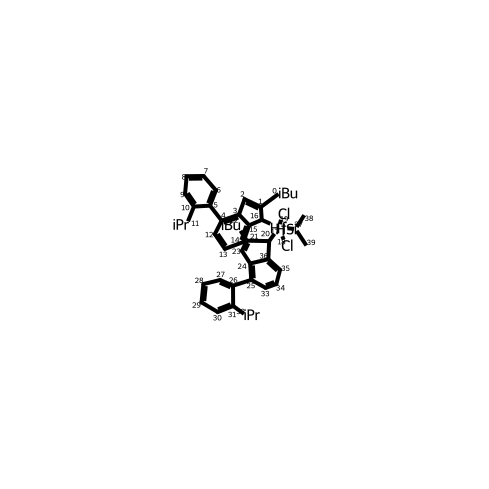 CCC(C)C1=Cc2c(-c3ccccc3C(C)C)cccc2[CH]1[Hf]([Cl])([Cl])([CH]1C(C(C)CC)=Cc2c(-c3ccccc3C(C)C)cccc21)[SiH](C)C